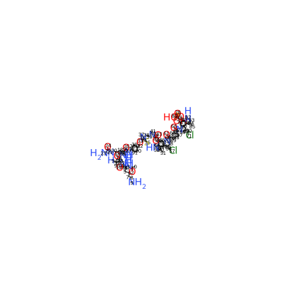 CC(=O)N[C@@H](CCCCN)C(=O)N[C@H](C(=O)N[C@@H](CCCNC(N)=O)C(=O)Nc1ccc(COC(=S)N(C)CCN(C)C(=O)Oc2cc3c(c4c(C)c[nH]c24)[C@H](CCl)CN3C(=O)C23CC4(C(=O)N5C[C@@H](CCl)c6c5cc(OP(=O)(O)O)c5[nH]cc(C)c65)CC24C3)cc1)C(C)C